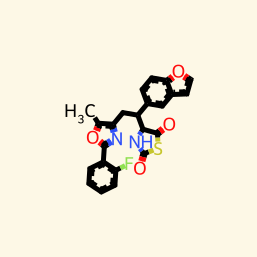 Cc1oc(-c2ccccc2F)nc1CC(c1ccc2occc2c1)C1NC(=O)SC1=O